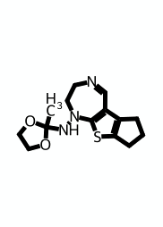 CC1(NN2CCN=Cc3c2sc2c3CCC2)OCCO1